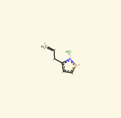 C=CCc1ccsn1.Cl